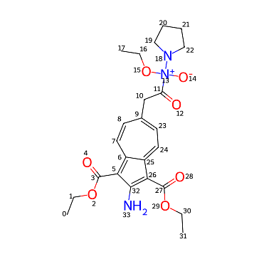 CCOC(=O)c1c2ccc(CC(=O)[N+]([O-])(OCC)N3CCCC3)ccc-2c(C(=O)OCC)c1N